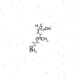 C=C(C/C=C\C(C)CO)OCCCOC